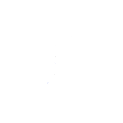 O=C(OC(c1cccnc1)C(F)(F)F)N1CCC2(CC1)CNCCO2